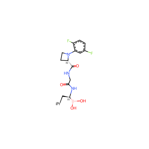 CC(C)C[C@@H](NC(=O)CNC(=O)[C@@H]1CCN1c1cc(F)ccc1F)B(O)O